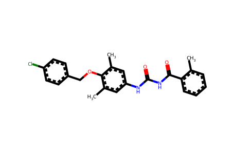 Cc1ccccc1C(=O)NC(=O)Nc1cc(C)c(OCc2ccc(Cl)cc2)c(C)c1